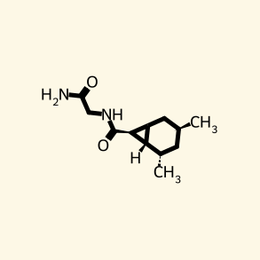 C[C@@H]1CC2[C@H]([C@@H](C)C1)[C@H]2C(=O)NCC(N)=O